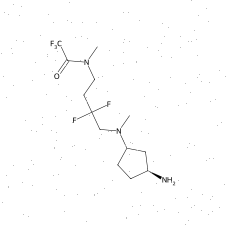 CN(CCC(F)(F)CN(C)C1CC[C@H](N)C1)C(=O)C(F)(F)F